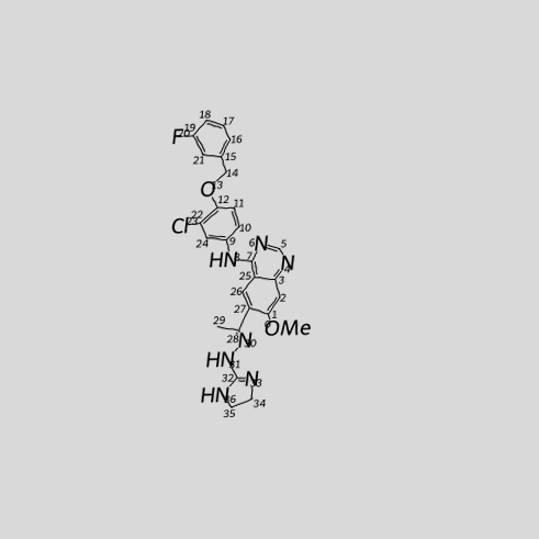 COc1cc2ncnc(Nc3ccc(OCc4cccc(F)c4)c(Cl)c3)c2cc1C(C)=NNC1=NCCN1